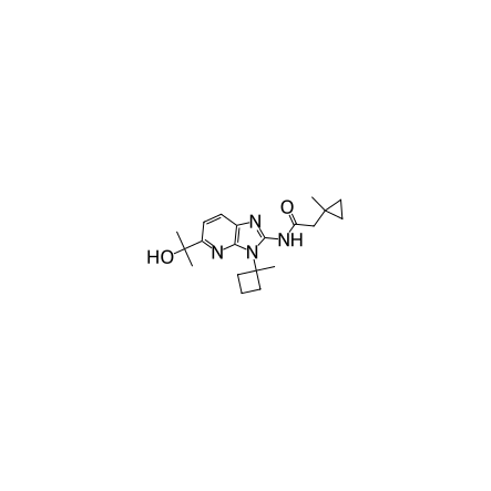 CC1(CC(=O)Nc2nc3ccc(C(C)(C)O)nc3n2C2(C)CCC2)CC1